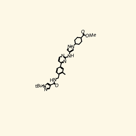 COC(=O)C1CCC(n2cc(Nc3nccc(-c4ccc(CNC(=O)c5cnn(C(C)(C)C)c5)c(C)c4)n3)cn2)CC1